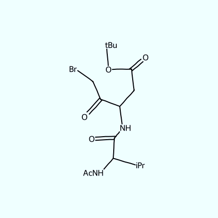 CC(=O)NC(C(=O)NC(CC(=O)OC(C)(C)C)C(=O)CBr)C(C)C